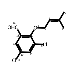 CC(C)=CCOc1c(Cl)cc(Cl)cc1C=O